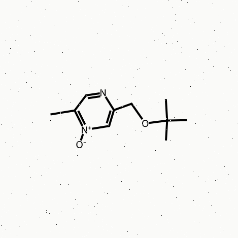 Cc1cnc(COC(C)(C)C)c[n+]1[O-]